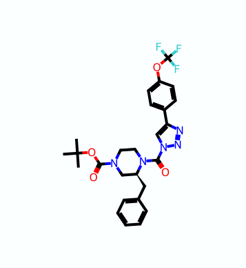 CC(C)(C)OC(=O)N1CCN(C(=O)n2cc(-c3ccc(OC(F)(F)F)cc3)nn2)[C@@H](Cc2ccccc2)C1